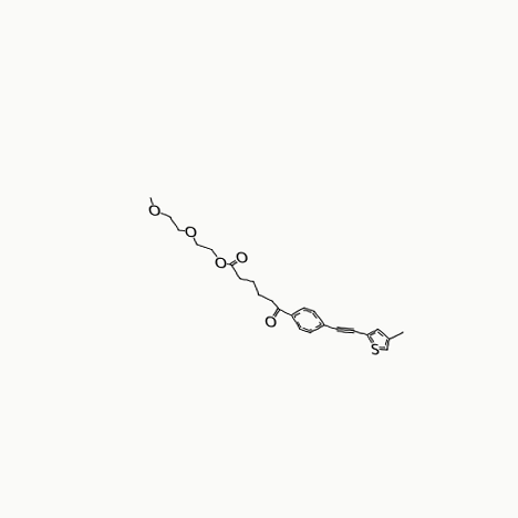 COCCOCCOC(=O)CCCCC(=O)c1ccc(C#Cc2cc(C)cs2)cc1